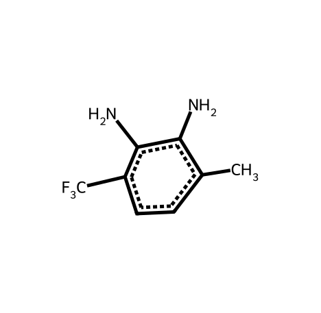 Cc1ccc(C(F)(F)F)c(N)c1N